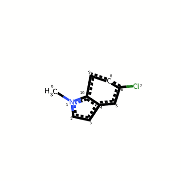 Cn1[c]cc2cc(Cl)ccc21